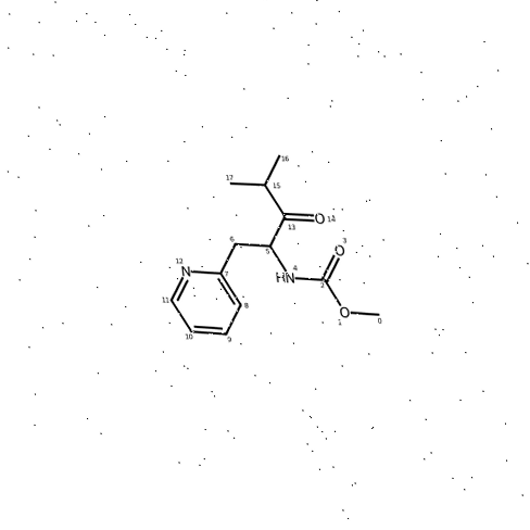 COC(=O)NC(Cc1ccccn1)C(=O)C(C)C